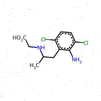 CC(Cc1c(Cl)ccc(Cl)c1N)NCC(=O)O